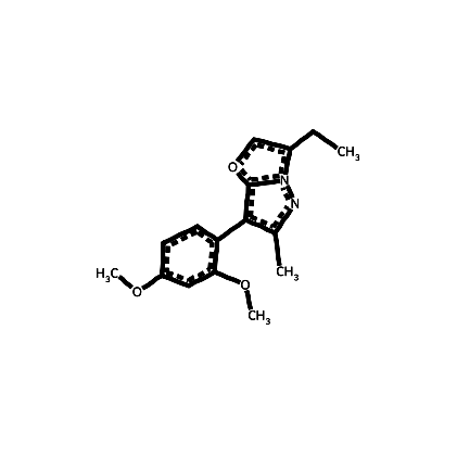 CCc1coc2c(-c3ccc(OC)cc3OC)c(C)nn12